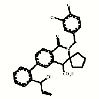 C=CC(O)c1ccccc1-c1ccc2c(c1)C(C(=O)O)C1(CCCC1)N(Cc1ccc(Cl)c(Cl)c1)C2=O